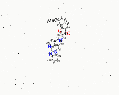 COc1ccc2ccc3c(=O)c(CN(CCCn4cnc5ccccc54)Cc4ccncc4)coc3c2c1